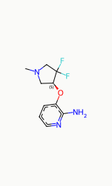 CN1C[C@H](Oc2cccnc2N)C(F)(F)C1